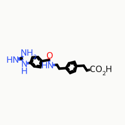 N=C(N)Nc1ccc(C(=O)NCCc2ccc(CCC(=O)O)cc2)cc1